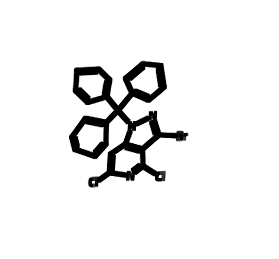 Clc1cc2c(c(Cl)n1)c(Br)nn2C(c1ccccc1)(c1ccccc1)c1ccccc1